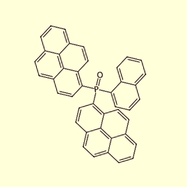 O=P(c1cccc2ccccc12)(c1ccc2ccc3cccc4ccc1c2c34)c1ccc2ccc3cccc4ccc1c2c34